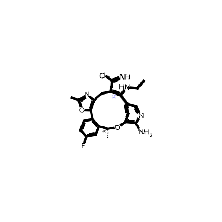 CCN/C1=C(\C(=N)Cl)Cc2nc(C)oc2-c2ccc(F)cc2[C@@H](C)Oc2cc1cnc2N